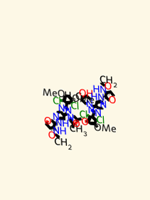 C=CC(=O)N[C@H]1CCOC[C@H]1Nc1cc2c(N3CC(C)OC(COc4cc(OC)c(Cl)c(-c5nc(N6CCC(C)(O)CC6)c6cc(N[C@@H]7COCC[C@@H]7NC(=O)C=C)ncc6n5)c4Cl)C3)nc(-c3c(Cl)c(OC)cc(OC)c3Cl)nc2cn1